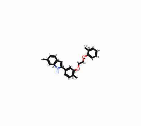 Cc1ccc2cc(-c3ccc(C)c(OCCOc4ccccc4C)c3)[nH]c2c1